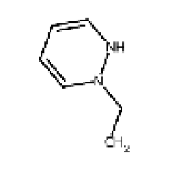 [CH2]CN1C=CC=CN1